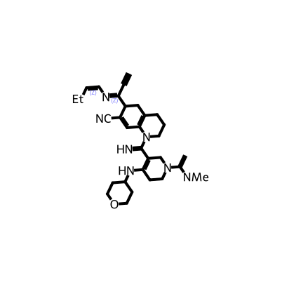 C#C/C(=N\C=C/CC)C1CC2=C(C=C1C#N)N(C(=N)C1=C(NC3CCOCC3)CCN(C(=C)NC)C1)CCC2